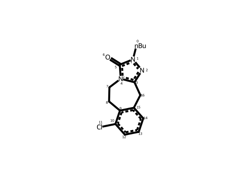 CCCCn1nc2n(c1=O)CCc1c(Cl)cccc1C2